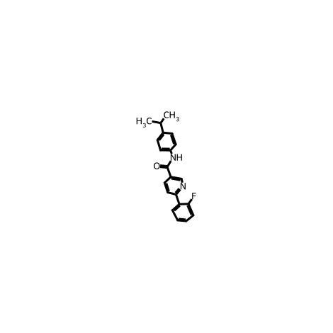 CC(C)c1ccc(NC(=O)c2ccc(-c3ccccc3F)nc2)cc1